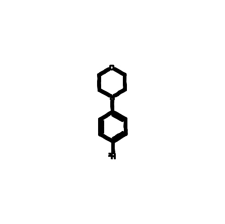 [2H]c1ccc(N2CCOCC2)cc1